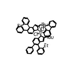 CCc1ccccc1-c1c(-c2ccccc2)ccc2c1C=C(C(C)CC)[CH]2[Zr]([Cl])([Cl])([c]1cccc2c1[SiH2]c1ccccc1-2)[CH]1C(C(C)CC)=Cc2c1ccc(-c1ccccc1)c2-c1ccccc1CC